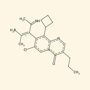 B/C(C)=C(\C(C)=N)c1c(Cl)cn2c(=O)c(CCC)cnc2c1C1CCC1